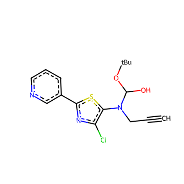 C#CCN(c1sc(-c2cccnc2)nc1Cl)C(O)OC(C)(C)C